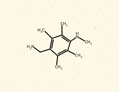 CNc1c(C)c(C)c(CN)c(C)c1C